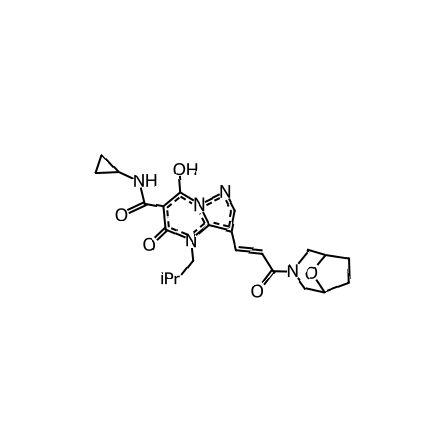 CC(C)Cn1c(=O)c(C(=O)NC2CC2)c(O)n2ncc(/C=C/C(=O)N3CC4CCC(C3)O4)c12